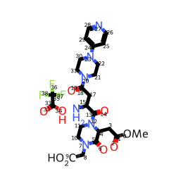 COC(=O)CC1C(=O)N(CC(=O)O)CCN1C(=O)C(N)CC(=O)N1CCN(c2ccncc2)CC1.O=C(O)C(F)(F)F